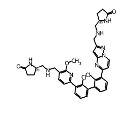 COc1nc(-c2cccc(-c3cccc(-c4ccn5nc(CNC[C@H]6CCC(=O)N6)cc5n4)c3Cl)c2Cl)ccc1CNC[C@H]1CCC(=O)N1